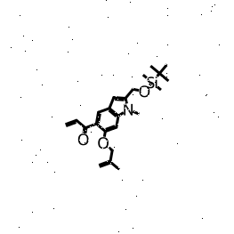 C=CC(=O)c1cc2cc(CO[Si](C)(C)C(C)(C)C)n(C)c2cc1OCC(=C)C